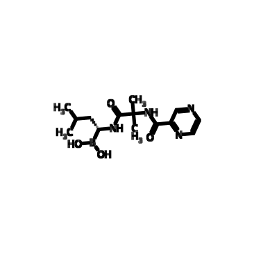 CC(C)C[C@H](NC(=O)C(C)(C)NC(=O)c1cnccn1)B(O)O